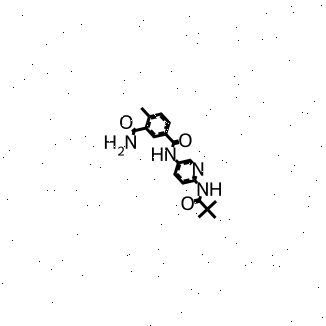 Cc1ccc(C(=O)Nc2ccc(NC(=O)C(C)(C)C)nc2)cc1C(N)=O